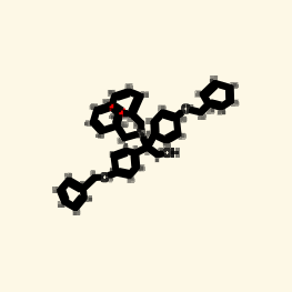 OCC(c1ccc(OCc2ccccc2)cc1)(c1ccc(OCc2ccccc2)cc1)N(Cc1ccccc1)Cc1ccccc1